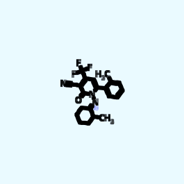 Cc1ccccc1-c1cc(C(F)(F)F)c(C#N)c(=O)n1/N=C1\CCCCC1C